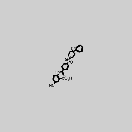 N#Cc1ccc(NC(=O)c2ccc(S(=O)(=O)N3CCC(C#N)(c4ccccc4)CC3)cc2)c(C(=O)O)c1